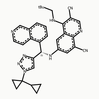 CC(C)(C)CNc1c(C#N)cnc2c(C#N)cc(N[C@H](c3cn(C4(C5CC5)CC4)nn3)c3cccc4cnccc34)cc12